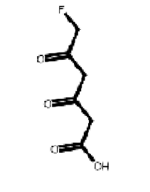 O=C(O)CC(=O)CC(=O)CF